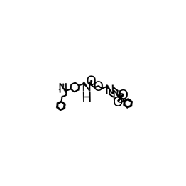 CN(C)C(CCc1ccccc1)C1CCC(CNC(=O)COCCN2CCN(S(=O)(=O)c3ccccc3)CC2)CC1